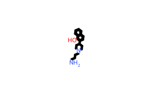 NCCCCN1CCC(c2ccc3ccccc3c2O)CC1